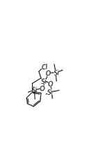 C[Si](C)(C)O[Si](O[Si](C)(C)C)(O[Si](C)(C)C)C(CCl)Cc1ccccc1